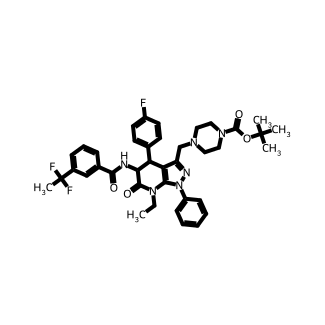 CCN1C(=O)C(NC(=O)c2cccc(C(C)(F)F)c2)C(c2ccc(F)cc2)c2c(CN3CCN(C(=O)OC(C)(C)C)CC3)nn(-c3ccccc3)c21